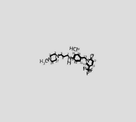 CN1CCN(CCCNc2ccc(Cn3cc(C(F)(F)F)ccc3=O)cc2)CC1.Cl